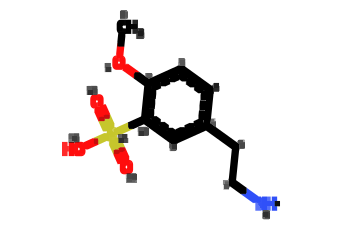 COc1ccc(CC[NH])cc1S(=O)(=O)O